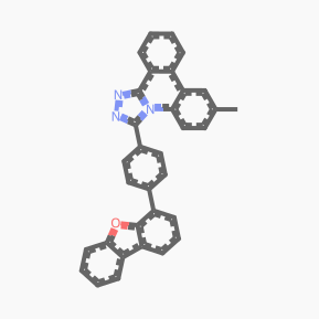 Cc1ccc2c(c1)c1ccccc1c1nnc(-c3ccc(-c4cccc5c4oc4ccccc45)cc3)n21